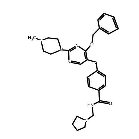 CN1CCN(c2ncc(Sc3ccc(C(=O)NCN4CCCC4)cc3)c(OCc3ccccc3)n2)CC1